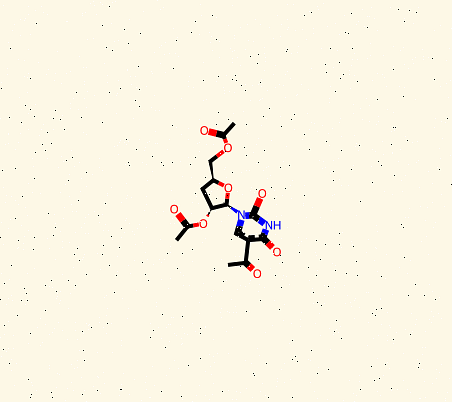 CC(=O)OC[C@@H]1C[C@@H](OC(C)=O)[C@H](n2cc(C(C)=O)c(=O)[nH]c2=O)O1